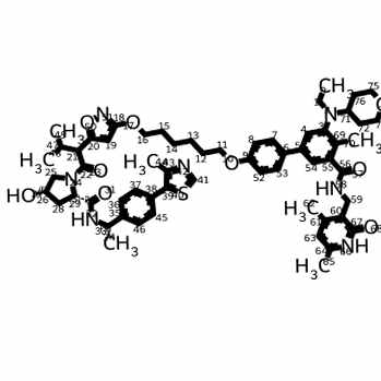 CCN(c1cc(-c2ccc(OCCCCCCOc3cc(C(C(=O)N4C[C@H](O)C[C@H]4C(=O)N[C@@H](C)c4ccc(-c5scnc5C)cc4)C(C)C)on3)cc2)cc(C(=O)NCc2c(C)cc(C)[nH]c2=O)c1C)C1CCOCC1